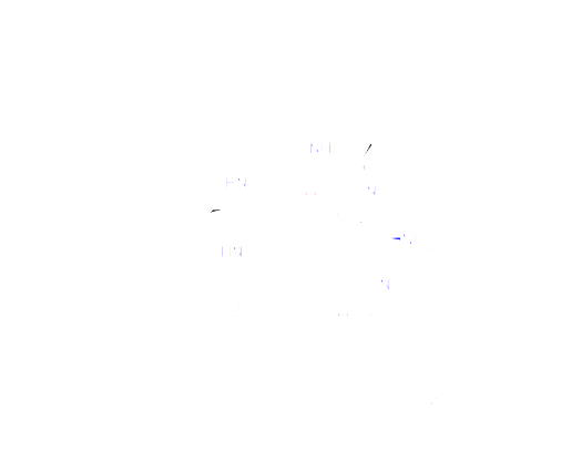 Cc1ccc(C(=O)NC[C@H](N)C(=O)N[C@H](CCc2ccccc2)C(=O)N[C@@H](Cc2ccc(-c3ccccc3)cc2)C(=O)N[C@H](Cc2ccccc2)C(=O)NCC(=O)O)cc1